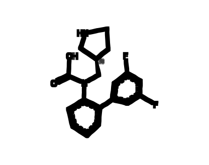 O=C(O)N(C[C@@H]1CCNC1)c1ccccc1-c1cc(F)cc(F)c1